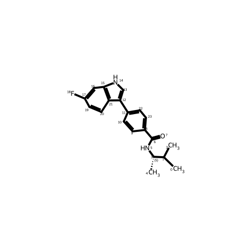 CC(C)[C@H](C)NC(=O)c1ccc(-c2c[nH]c3cc(F)ccc23)cc1